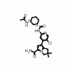 CC(=O)N[C@@H]1CCC[C@H](C(=O)Nc2cc(-c3cc(C(N)=O)n4c3CC(C)(C)C4)c(Cl)cn2)C1